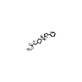 CC(C)(C)OC(=O)NCC1CCN(S(=O)(=O)C2=CCC(c3ccccn3)S2)CC1